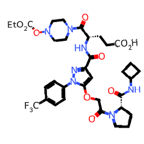 CCOC(=O)ON1CCN(C(=O)[C@H](CCC(=O)O)NC(=O)c2cc(OCC(=O)N3CCC[C@H]3C(=O)NC3CCC3)n(-c3ccc(C(F)(F)F)cc3)n2)CC1